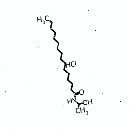 CCCCCCCCCCCCCCCC(=O)NC(C)O.Cl